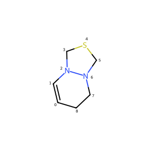 C1=CN2CSCN2CC1